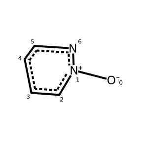 [O-][n+]1cc[c]cn1